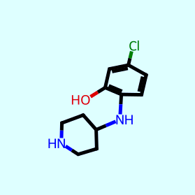 Oc1cc(Cl)ccc1NC1CCNCC1